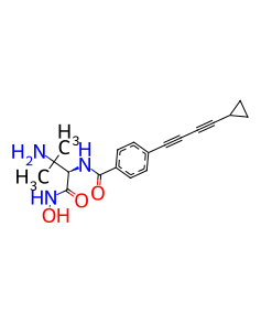 CC(C)(N)[C@@H](NC(=O)c1ccc(C#CC#CC2CC2)cc1)C(=O)NO